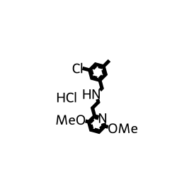 COc1ccc(OC)c(CCNCc2cc(C)cc(Cl)c2)n1.Cl